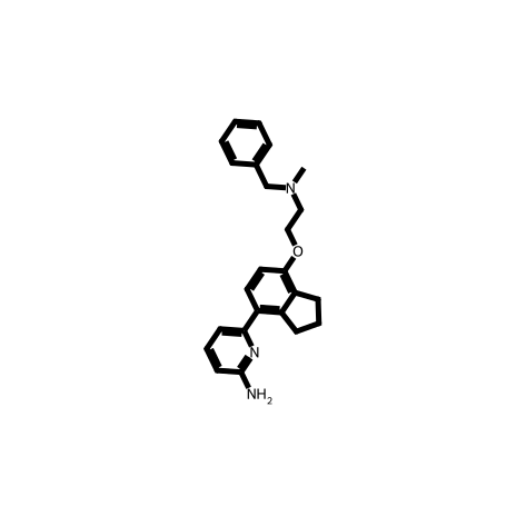 CN(CCOc1ccc(-c2cccc(N)n2)c2c1CCC2)Cc1ccccc1